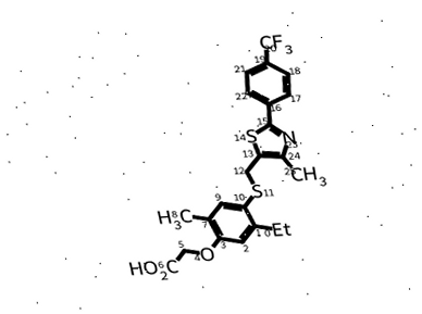 CCc1cc(OCC(=O)O)c(C)cc1SCc1sc(-c2ccc(C(F)(F)F)cc2)nc1C